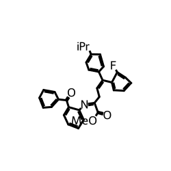 COC(=O)C(CC=C(c1ccc(C(C)C)cc1)c1ccccc1F)=Nc1ccccc1C(=O)c1ccccc1